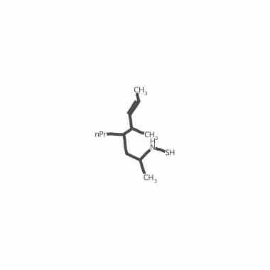 CC=CC(C)C(CCC)CC(C)NS